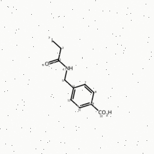 O=C(CI)NCc1ccc(C(=O)O)cc1